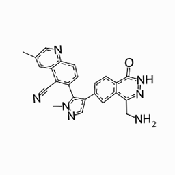 Cc1cnc2ccc(-c3c(-c4ccc5c(=O)[nH]nc(CN)c5c4)cnn3C)c(C#N)c2c1